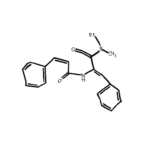 CCN(C)C(=O)/C(=C/c1ccccc1)NC(=O)/C=C\c1ccccc1